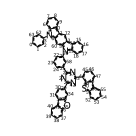 c1ccc(-n2c3ccccc3c3cc4c5ccccc5n(-c5cccc(-c6nc(-c7ccc8c(c7)oc7ccccc78)nc(-c7cccc8c7sc7ccccc78)n6)c5)c4cc32)cc1